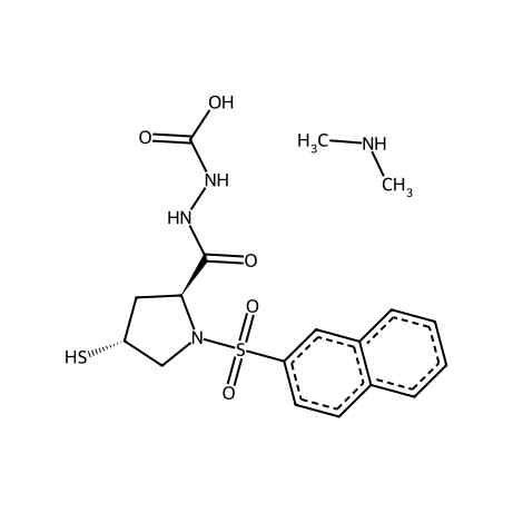 CNC.O=C(O)NNC(=O)[C@@H]1C[C@@H](S)CN1S(=O)(=O)c1ccc2ccccc2c1